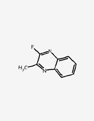 Cc1nc2ccccc2nc1F